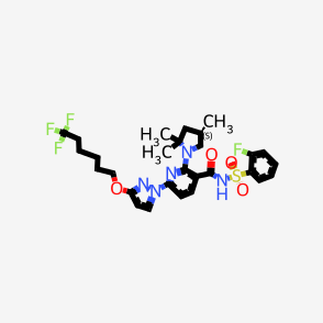 C[C@@H]1CN(c2nc(-n3ccc(OCCCCCC(F)(F)F)n3)ccc2C(=O)NS(=O)(=O)c2ccccc2F)C(C)(C)C1